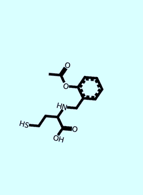 CC(=O)Oc1ccccc1CNC(CCS)C(=O)O